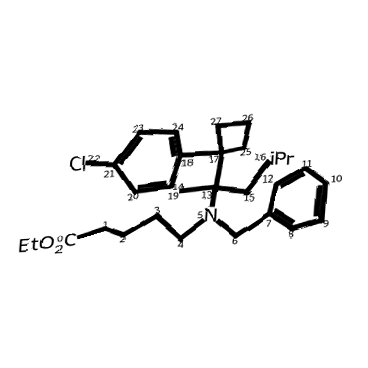 CCOC(=O)CCCCN(Cc1ccccc1)C(C)(CC(C)C)C1(c2ccc(Cl)cc2)CCC1